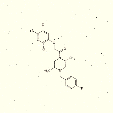 CC1CN(C(=O)COc2cc(Cl)c(Cl)cc2Cl)C(C)CN1Cc1ccc(F)cc1